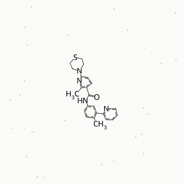 Cc1ccc(NC(=O)c2ccc(N3CCSCC3)nc2C)cc1-c1ccccn1